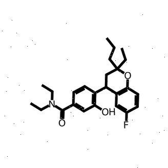 CCCC1(CC)CC(c2ccc(C(=O)N(CC)CC)cc2O)c2cc(F)ccc2O1